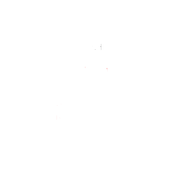 CC(=O)OCC=COBr